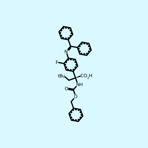 CC(C)(C)C[C@](NC(=O)OCc1ccccc1)(C(=O)O)c1ccc(N=C(c2ccccc2)c2ccccc2)c(F)c1